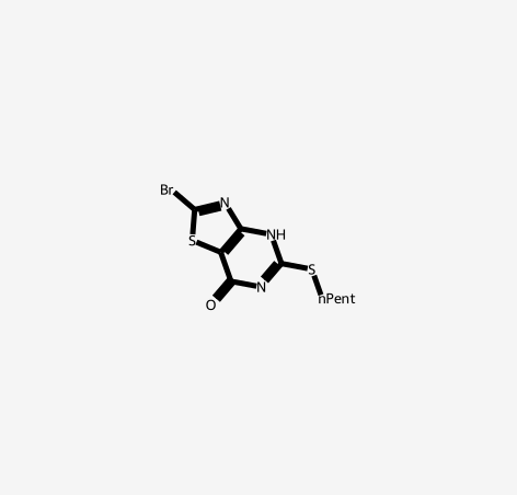 CCCCCSc1nc(=O)c2sc(Br)nc2[nH]1